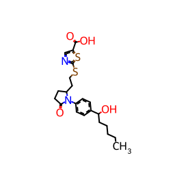 CCCCCC(O)c1ccc(N2C(=O)CCC2CCSc2ncc(C(=O)O)s2)cc1